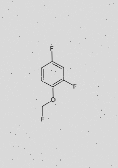 FCOc1ccc(F)cc1F